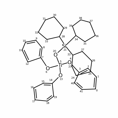 c1ccc([O][Ti]([O]c2ccccc2)([O]c2ccccc2)[O][Si](C2CCCCC2)(C2CCCCC2)C2CCCCC2)cc1